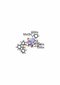 COC(Cc1ccccc1NC(=O)C(NC(=O)C(CCSC(c1ccccc1)(c1ccccc1)c1ccccc1)OC(N)=O)C(C)(C)CC(OC)OC)OC